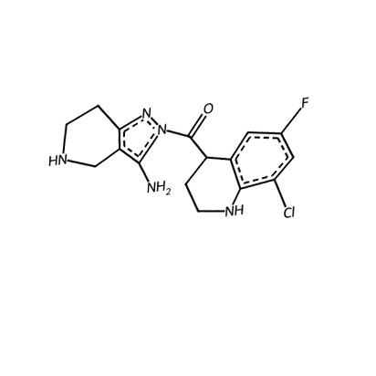 Nc1c2c(nn1C(=O)C1CCNc3c(Cl)cc(F)cc31)CCNC2